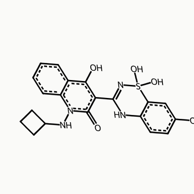 O=c1c(C2=NS(O)(O)c3cc(O)ccc3N2)c(O)c2ccccc2n1NC1CCC1